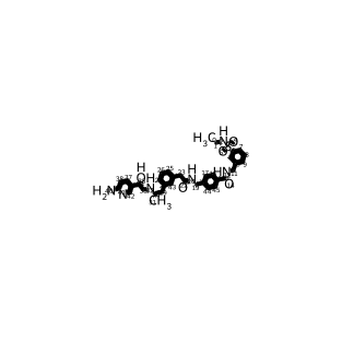 CCNS(=O)(=O)c1cccc(CNC(=O)c2ccc(CNC(=O)Cc3cccc(C[C@@H](C)NC[C@@H](O)c4ccc(N)nc4)c3)cc2)c1